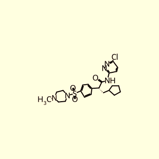 CN1CCN(S(=O)(=O)c2ccc([C@@H](CC3CCCC3)C(=O)Nc3ccc(Cl)nn3)cc2)CC1